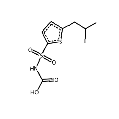 CC(C)Cc1ccc(S(=O)(=O)NC(=O)O)s1